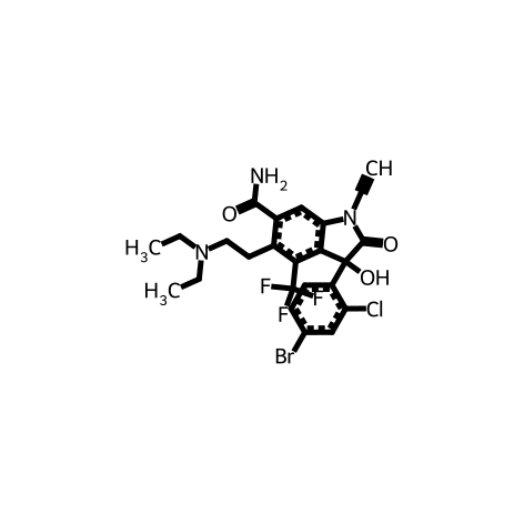 C#CN1C(=O)C(O)(c2ccc(Br)cc2Cl)c2c1cc(C(N)=O)c(CCN(CC)CC)c2C(F)(F)F